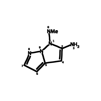 CNn1c(N)cc2ccnn21